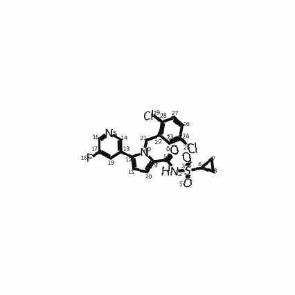 O=C(NS(=O)(=O)C1CC1)c1ccc(-c2cncc(F)c2)n1Cc1cc(Cl)ccc1Cl